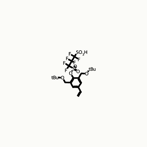 C=Cc1cc(COC(C)(C)C)c(OS(=O)(=O)C(F)(F)C(F)(F)C(F)(F)S(=O)(=O)O)c(COC(C)(C)C)c1